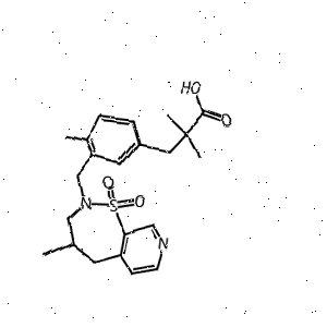 Cc1ccc(CC(C)(C)C(=O)O)cc1CN1CC(C)Cc2ccncc2S1(=O)=O